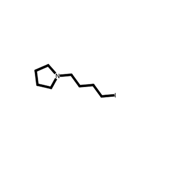 ICCCCN1CCCC1